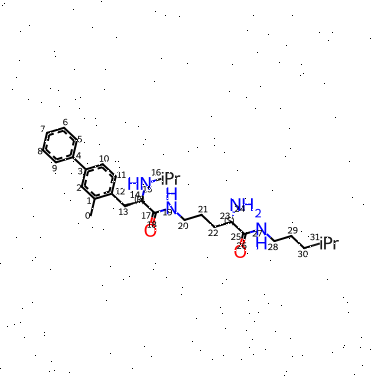 Cc1cc(-c2ccccc2)ccc1C[C@@H](NC(C)C)C(=O)NCCC[C@H](N)C(=O)NCCCC(C)C